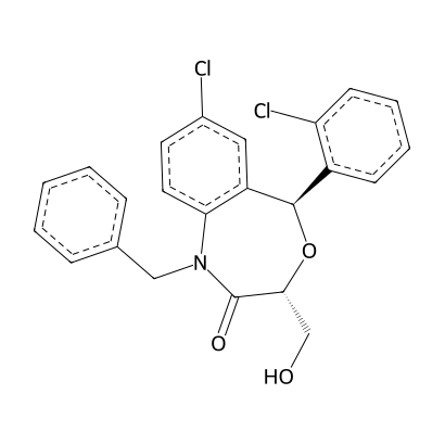 O=C1[C@@H](CO)O[C@H](c2ccccc2Cl)c2cc(Cl)ccc2N1Cc1ccccc1